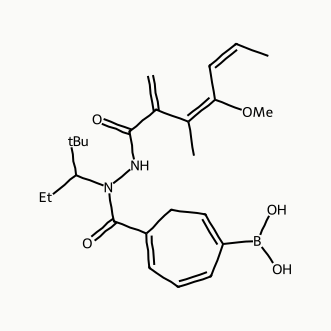 C=C(C(=O)NN(C(=O)C1=CC=CC(B(O)O)=CC1)C(CC)C(C)(C)C)/C(C)=C(\C=C/C)OC